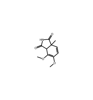 COC1=C(OC)C2C(=O)NC(=O)C2(C)C=C1